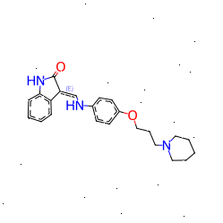 O=C1Nc2ccccc2/C1=C\Nc1ccc(OCCCN2CCCCC2)cc1